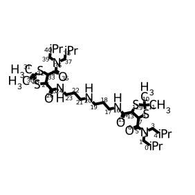 CC(C)CN(CC(C)C)C(=O)C1SC(C)(C)SC1C(=O)NCCCNCCCNC(=O)C1SC(C)(C)SC1C(=O)N(CC(C)C)CC(C)C